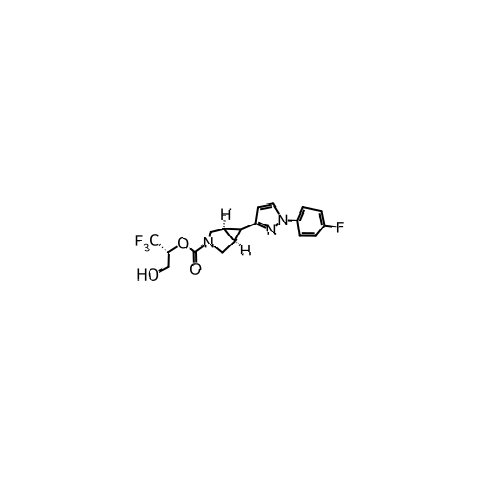 O=C(O[C@H](CO)C(F)(F)F)N1C[C@@H]2C(c3ccn(-c4ccc(F)cc4)n3)[C@@H]2C1